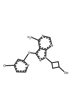 Nc1ncnc2c1c(Oc1cc(Cl)ccn1)nn2C1CC(O)C1